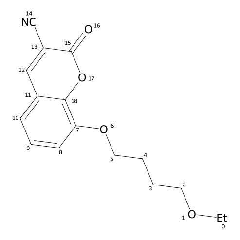 CCOCCCCOc1cccc2cc(C#N)c(=O)oc12